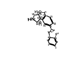 Fc1ccccc1COc1ccc2c(c1)[C@H]1CNC[C@H]1OC2